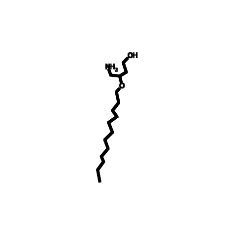 CCCCCCCCCCCCOC(CN)CCO